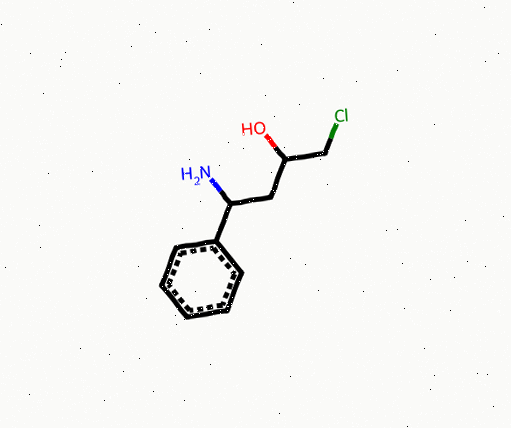 NC(CC(O)CCl)c1ccccc1